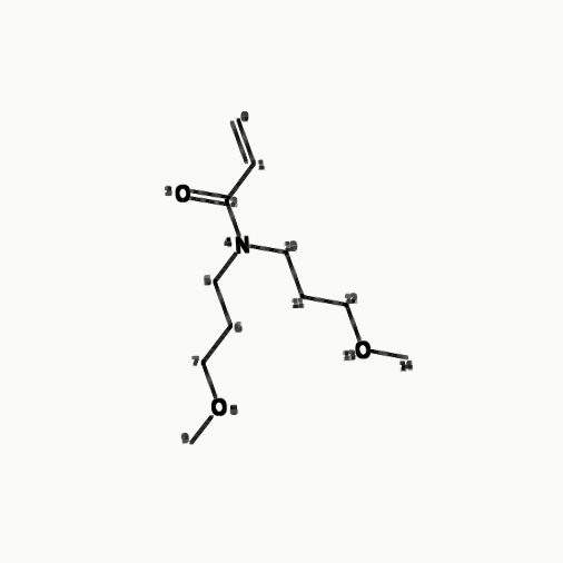 C=CC(=O)N(CCCOC)CCCOC